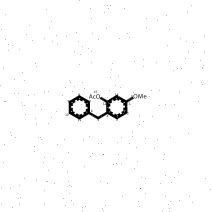 COc1ccc(Cc2ccccc2)c(OC(C)=O)c1